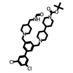 CC(C)(C)OC(=O)N1CCC(C2CCN(Cc3cc(CN4CCC(CNC=O)CC4)cc(-c4cc(Cl)cc(Cl)c4)c3)CC2)CC1